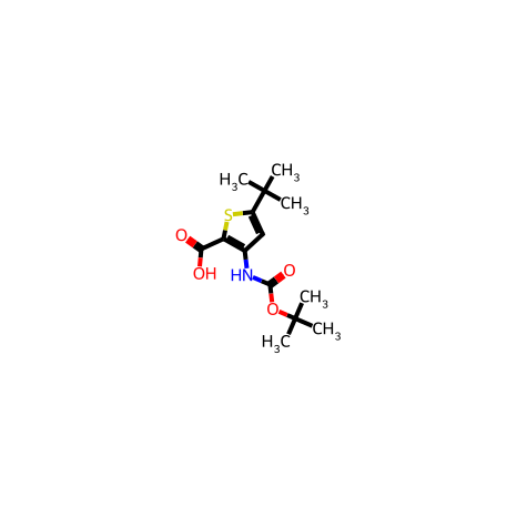 CC(C)(C)OC(=O)Nc1cc(C(C)(C)C)sc1C(=O)O